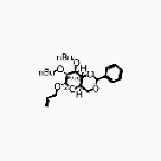 C=CCO[C@H]1O[C@@H]2COC(c3ccccc3)O[C@H]2[C@H](OCCCC)[C@H]1OCCCC